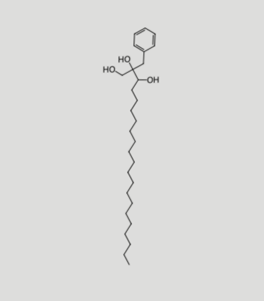 CCCCCCCCCCCCCCCCCCC(O)C(O)(CO)Cc1ccccc1